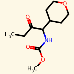 CCC(=O)C(NC(=O)OC)C1CCOCC1